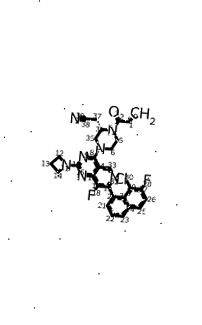 C=CC(=O)N1CCN(c2nc(N3CCC3)nc3c(F)c(-c4cccc5ccc(F)c(Cl)c45)ncc23)C[C@@H]1CC#N